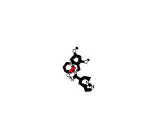 COc1ccc(CN2C(c3ccn4nccc4c3)=NOC23CN2CCC3CC2)c(OC)c1